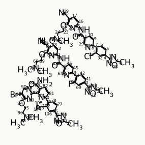 Cc1nc(-c2ccc(-c3ccc(C(=O)Nc4ccc(C#N)c(OCCN(C)C)n4)cn3)c(Cl)c2)no1.Cc1nc(-c2ccc(-c3ccc(C(=O)Nc4ccc(C#N)c(OCCN(C)C)n4)cn3)c(F)c2)no1.Cc1nc(-c2ccc(-c3ccc(C(N)=O)c(-c4ncc(Br)c(OCCN(C)C)n4)n3)c(C3CC3)c2)no1